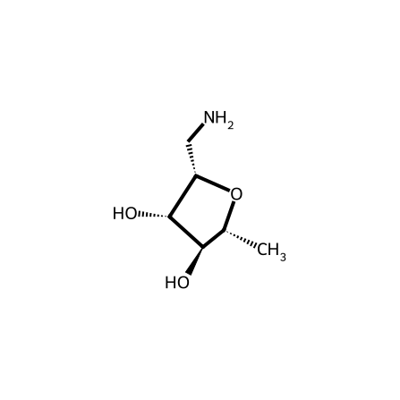 C[C@H]1O[C@@H](CN)[C@@H](O)[C@@H]1O